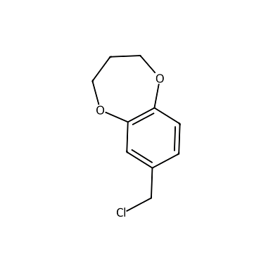 ClCc1ccc2c(c1)OCCCO2